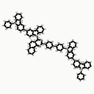 c1ccc(-n2c3ccccc3c3cc(-c4ccc5c(c4)c4ccccc4n5-c4ccc(-c5ccc(-c6nc(-n7c8ccccc8c8cc(-c9ccc%10c(c9)c9ccccc9n%10-c9ccccc9)ccc87)c7ccc8ccccc8c7n6)cc5)cc4)ccc32)cc1